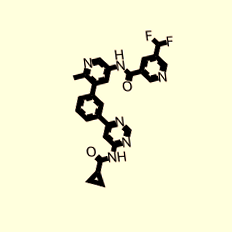 Cc1ncc(NC(=O)c2cncc(C(F)F)c2)cc1-c1cccc(-c2cc(NC(=O)C3CC3)ncn2)c1